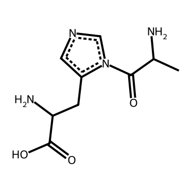 CC(N)C(=O)n1cncc1CC(N)C(=O)O